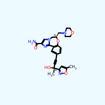 Cc1cc([C@](C)(O)C#Cc2ccc3c(c2)-c2nc(C(N)=O)cn2C[C@@H](CN2CCOCC2)O3)no1